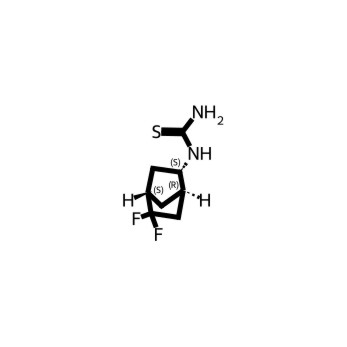 NC(=S)N[C@H]1C[C@@H]2C[C@@H]1CC2(F)F